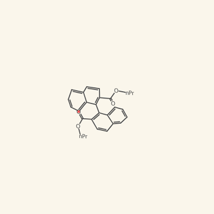 CCCOC(=O)c1ccc2ccccc2c1-c1c(C(=O)OCCC)ccc2ccccc12